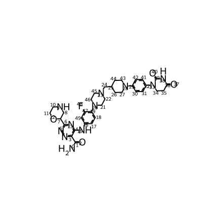 NC(=O)c1nnc(C2CNCCO2)nc1Nc1ccc(N2CCN(CC3CCN(c4ccc(N5CCC(=O)NC5=O)cc4)CC3)CC2)c(F)c1